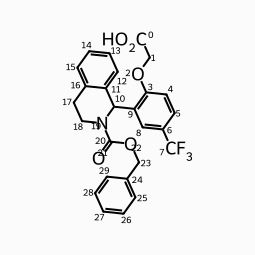 O=C(O)COc1ccc(C(F)(F)F)cc1C1c2ccccc2CCN1C(=O)OCc1ccccc1